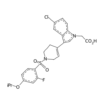 CC(C)Oc1ccc(S(=O)(=O)N2CC=C(c3cn(CC(=O)O)c4ccc(Cl)cc34)CC2)c(F)c1